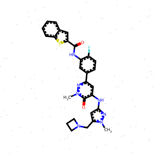 Cn1nc(Nc2cc(-c3ccc(F)c(NC(=O)c4cc5ccccc5s4)c3)nn(C)c2=O)cc1CN1CCC1